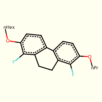 CCCCCCOc1ccc2c(c1F)CCc1c-2ccc(OCCC)c1F